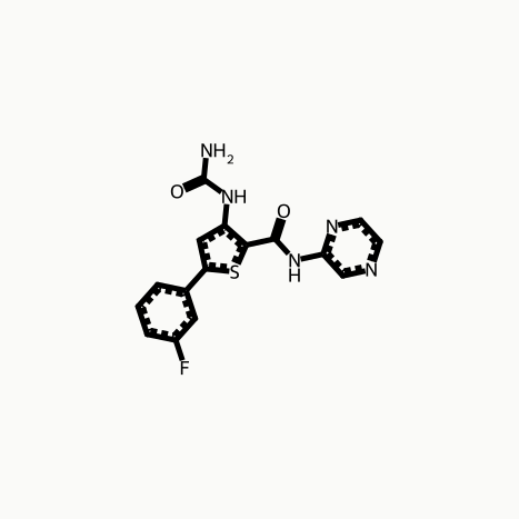 NC(=O)Nc1cc(-c2cccc(F)c2)sc1C(=O)Nc1cnccn1